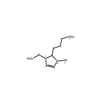 CCCCCCCCCCCCCC1N(CCCCCCCCCCC)C=CN1C(C)C